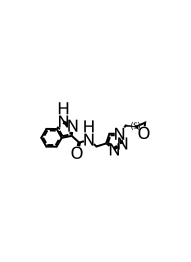 O=C(NCc1cn(C[C@H]2CO2)nn1)c1n[nH]c2ccccc12